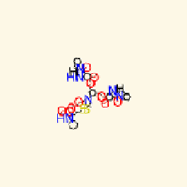 COCCOCCOCCN(CC(C)(C)SSCCCC(=O)NC1CCCCCC1)c1cc(COc2cc3c(cc2OC)C(=O)N2c4ccccc4C[C@H]2C=N3)cc(COc2cc3c(cc2OC)C(=O)N2c4ccccc4C[C@H]2CN3)c1